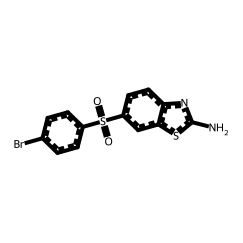 Nc1nc2ccc(S(=O)(=O)c3ccc(Br)cc3)cc2s1